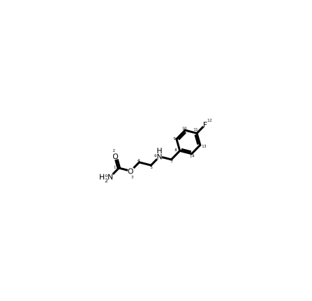 NC(=O)OCCNCc1ccc(F)cc1